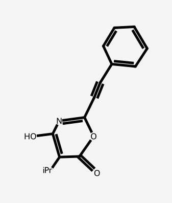 CC(C)c1c(O)nc(C#Cc2ccccc2)oc1=O